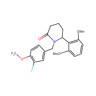 COc1cccc(OC)c1C1CCCC(=O)N1Cc1ccc(OC(F)(F)F)c(F)c1